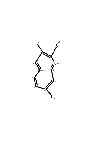 Cc1cc2ccc(F)cc2nc1Cl